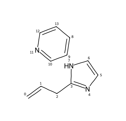 C=CCc1ncc[nH]1.c1ccncc1